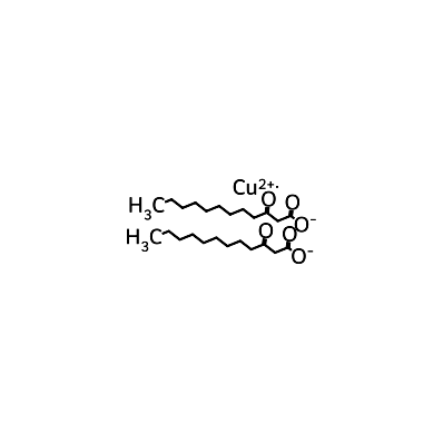 CCCCCCCCCC(=O)CC(=O)[O-].CCCCCCCCCC(=O)CC(=O)[O-].[Cu+2]